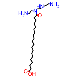 NCCNCCN(CCN)C(=O)CCCCCCCCCCCCCCCCCCC(=O)O